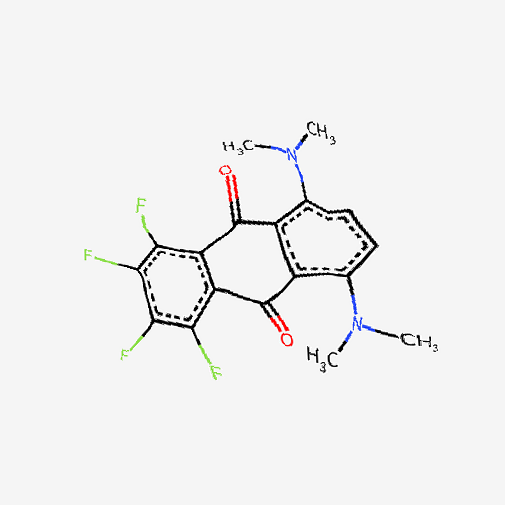 CN(C)c1ccc(N(C)C)c2c1C(=O)c1c(F)c(F)c(F)c(F)c1C2=O